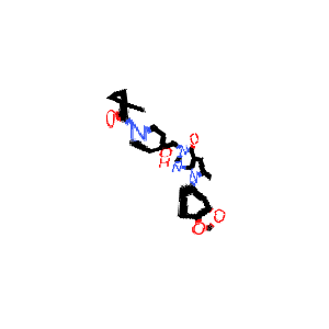 Cc1cc2c(=O)n(CC3(O)CCN(C(=O)C4(C)CC4)CC3)cnc2n1-c1ccc2c(c1)OCO2